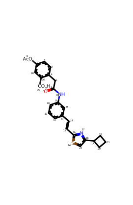 CC(=O)Oc1ccc(CC(=O)Nc2cccc(C=Cc3nc(C4CCC4)cs3)c2)c(C(=O)O)c1